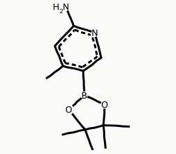 Cc1cc(N)ncc1B1OC(C)(C)C(C)(C)O1